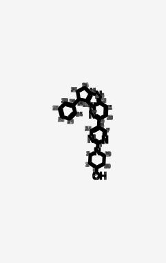 OC1CCN(c2ncc(-c3ccc4nc5c(n4n3)C(c3ccccc3)CC5)cn2)CC1